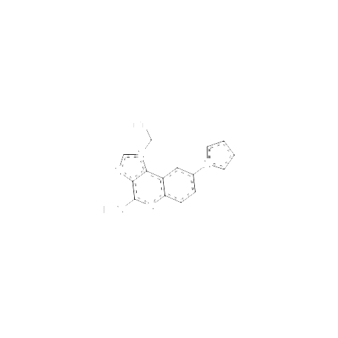 CC(C)Cn1cnc2c(N)nc3ccc(-n4cccc4)cc3c21